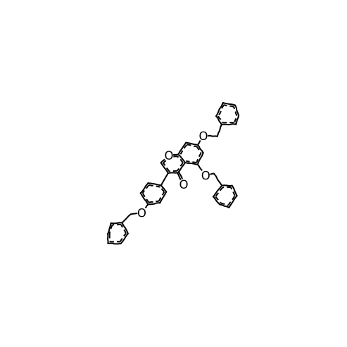 O=c1c(-c2ccc(OCc3ccccc3)cc2)coc2cc(OCc3ccccc3)cc(OCc3ccccc3)c12